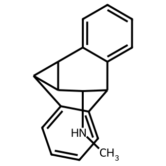 CNC1C2c3ccccc3C3C(c4ccccc42)C13